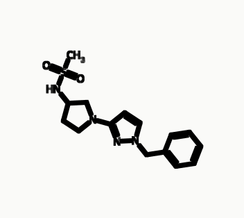 CS(=O)(=O)NC1CCN(c2ccn(Cc3ccccc3)n2)C1